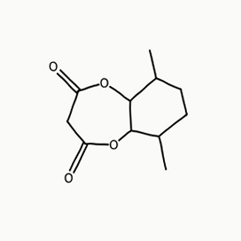 CC1CCC(C)C2OC(=O)CC(=O)OC12